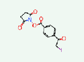 O=C(CI)c1ccc(C(=O)ON2C(=O)CCC2=O)cc1